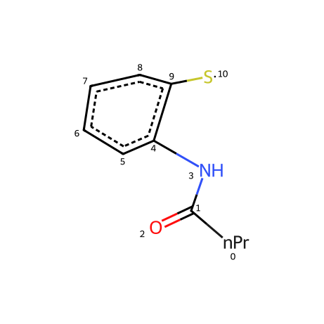 CCCC(=O)Nc1ccccc1[S]